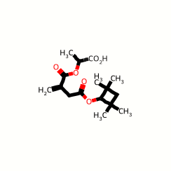 C=C(CC(=O)OC1C(C)(C)CC1(C)C)C(=O)OC(C)C(=O)O